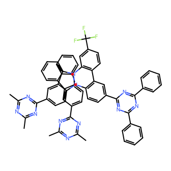 Cc1nc(C)nc(-c2ccc3c(c2)c2ccccc2n3-c2ccc(-c3nc(-c4ccccc4)nc(-c4ccccc4)n3)cc2-c2ccc(C(F)(F)F)cc2-n2c3ccccc3c3cc(-c4nc(C)nc(C)n4)ccc32)n1